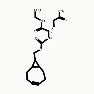 NC(=O)CC[C@H](NC(=O)OCC1C2CCC#CCCC21)C(=O)NCC(=O)O